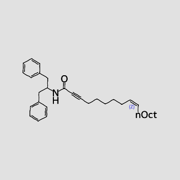 CCCCCCCC/C=C\CCCCCC#CC(=O)NC(Cc1ccccc1)Cc1ccccc1